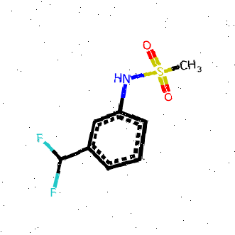 CS(=O)(=O)Nc1c[c]cc(C(F)F)c1